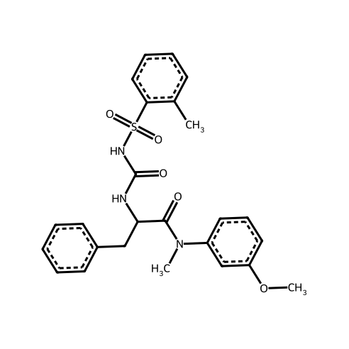 COc1cccc(N(C)C(=O)C(Cc2ccccc2)NC(=O)NS(=O)(=O)c2ccccc2C)c1